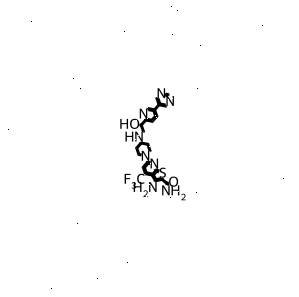 NC(=O)c1sc2nc(N3CCC(NCC(O)c4ccc(-c5cncnc5)cn4)CC3)cc(C(F)(F)F)c2c1N